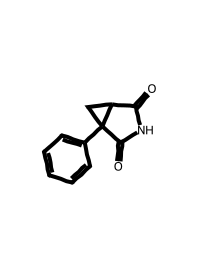 O=C1NC(=O)C2(c3ccccc3)CC12